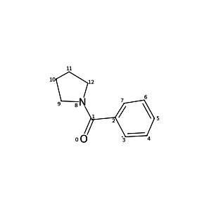 O=C(c1[c]cccc1)N1CCCC1